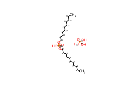 CCCCCCCCCCCOP(=O)(O)OCCCCCCCCCCC.O=P(O)(O)O